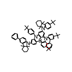 CC(C)(C)c1ccc(N2c3cc(N4c5ccc(-c6ccccc6)cc5C5(C)CCCCC45C)ccc3B3c4ccc(C(C)(C)C)cc4N(c4ccc(C(C)(C)C)cc4-c4ccccc4)c4cc(N5c6ccc(C(C)(C)C)cc6C6(C)CCCCC56C)cc2c43)cc1